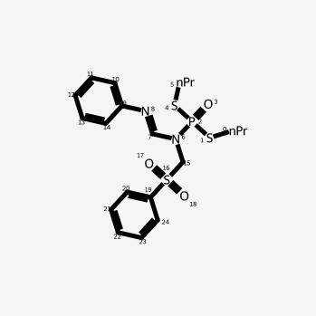 CCCSP(=O)(SCCC)N(C=Nc1ccccc1)CS(=O)(=O)c1ccccc1